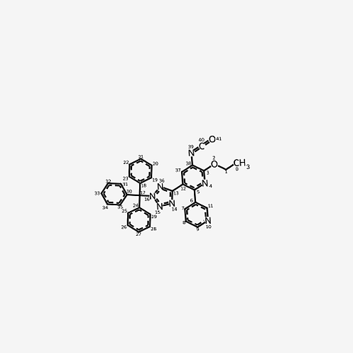 CCOc1nc(-c2cccnc2)c(-c2nnn(C(c3ccccc3)(c3ccccc3)c3ccccc3)n2)cc1N=C=O